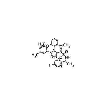 COc1cccc(OC)c1-n1c(NS(=O)(=O)N[C@@H](C)c2ncc(F)cn2)nnc1-c1cncc(C)c1